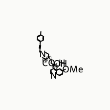 COc1ccc2nccc([C@H](O)CC[C@@H]3CCN(CC#Cc4ccc(C)cc4)C[C@@H]3C(=O)O)c2c1